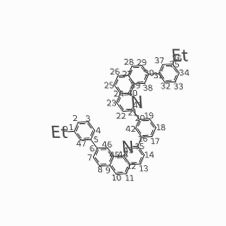 CCc1cccc(-c2ccc3ccc4ccc(-c5cccc(-c6ccc7ccc8ccc(-c9cccc(CC)c9)cc8c7n6)c5)nc4c3c2)c1